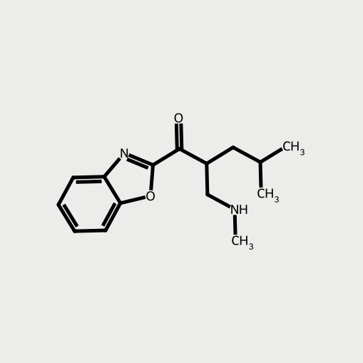 CNCC(CC(C)C)C(=O)c1nc2ccccc2o1